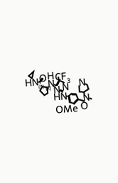 COc1cc(Nc2ncc(C(F)(F)F)c(N[C@@H]3CCC[C@@H]3C(=O)NC3CC3)n2)ccc1C(=O)N(C)C1CCN(C)CC1